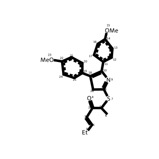 CC/C=C/C(=O)C(C)SC1=NC(c2ccc(OC)cc2)=C(c2ccc(OC)cc2)C1